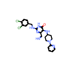 N=Cc1nc(NCc2ccc(Cl)c(Cl)c2)[nH]c(=O)c1NC1CCN(c2ccccn2)CC1